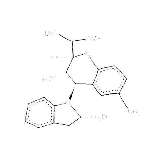 CCOC(=O)[C@@H]1Cc2ccccc2N1[C@@H]1c2cc(N)ccc2O[C@](C)(C(OC)OC)[C@H]1O